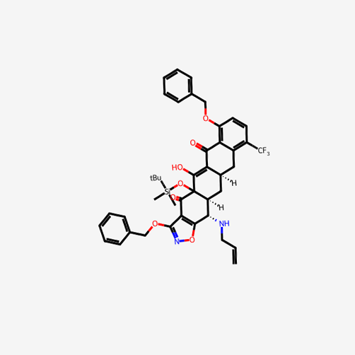 C=CCN[C@@H]1c2onc(OCc3ccccc3)c2C(=O)C2(O[Si](C)(C)C(C)(C)C)C(O)=C3C(=O)c4c(OCc5ccccc5)ccc(C(F)(F)F)c4C[C@H]3C[C@@H]12